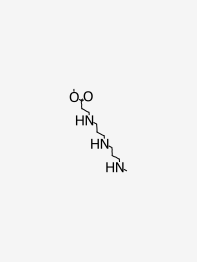 CNCCCNCCCNCCC(=O)OC